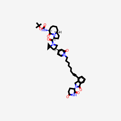 CC(C)(C)OC(=O)N[C@H]1CCCC[C@H]2CC[C@@H](C(=O)N3C[C@@H](c4ccn(CCCCCCC#Cc5cccc6c5CN(C5CCC(=O)NC5=O)C6=O)c(=O)c4)CC34CC4)N2C1=O